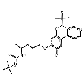 CC(CCCOc1cc2c(cc1Br)-c1ccncc1C(C(F)(F)F)O2)NC(=O)OC(C)(C)C